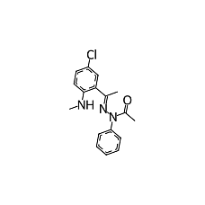 CNc1ccc(Cl)cc1/C(C)=N/N(C(C)=O)c1ccccc1